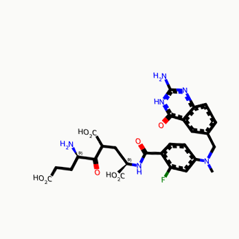 CN(Cc1ccc2nc(N)[nH]c(=O)c2c1)c1ccc(C(=O)N[C@H](CC(C(=O)O)C(=O)[C@H](N)CCC(=O)O)C(=O)O)c(F)c1